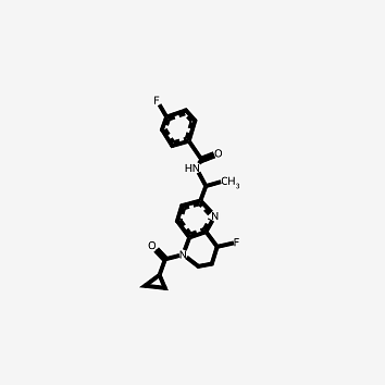 CC(NC(=O)c1ccc(F)cc1)c1ccc2c(n1)C(F)CCN2C(=O)C1CC1